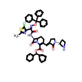 Cc1nc(/C(=N/OC(c2ccccc2)(c2ccccc2)c2ccccc2)C(=O)N[C@@H]2C(=O)N3C(C(=O)OC(c4ccccc4)c4ccccc4)=C(/C=C4\CCN([C@@H]5CCNC5)C4=O)CCC23)c(Cl)s1